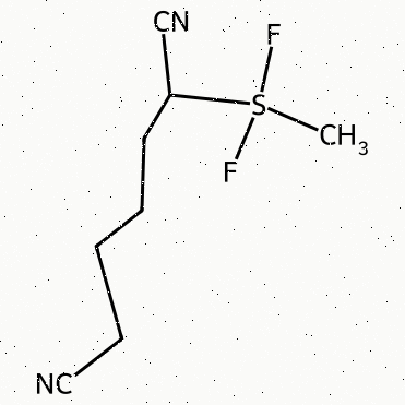 CS(F)(F)C(C#N)CCCCC#N